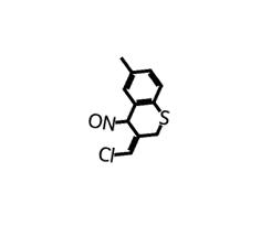 Cc1ccc2c(c1)C(N=O)/C(=C\Cl)CS2